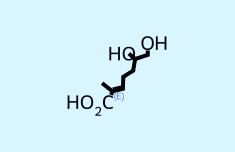 C/C(=C\CCC(O)CO)C(=O)O